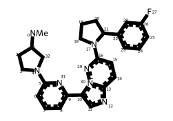 CNC1CCN(c2cccc(-c3cnc4ccc(N5CCCC5c5cccc(F)c5)nn34)n2)C1